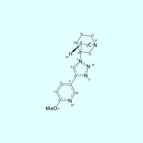 COc1ccc(-c2cn([C@H]3CN4CCC3CC4)nn2)cn1